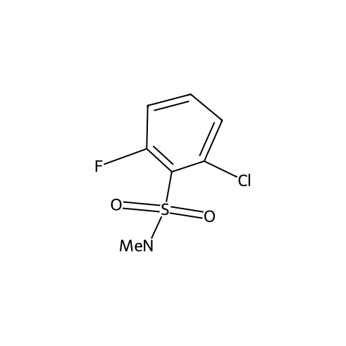 CNS(=O)(=O)c1c(F)cccc1Cl